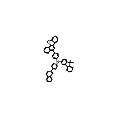 CC1(C)c2ccccc2-c2cc(N(c3ccc(-c4ccc5ccccc5c4)cc3)c3ccc(-c4cc5c6ccccc6oc5c5ccccc45)cc3)ccc21